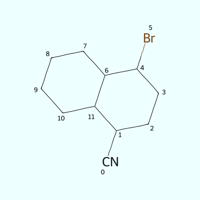 N#CC1CCC(Br)C2CCCCC12